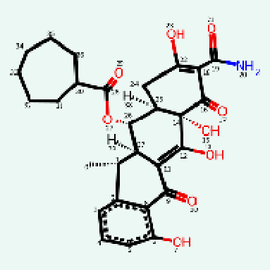 C[C@H]1c2cccc(O)c2C(=O)C2=C(O)[C@]3(O)C(=O)C(C(N)=O)=C(O)C[C@@H]3[C@@H](OC(=O)C3CCCCCC3)[C@@H]21